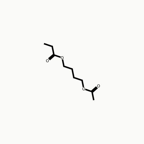 CCC(=O)OCCCCOC(C)=O